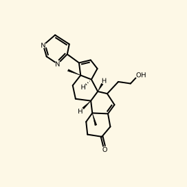 C[C@]12CCC(=O)CC1=CC(CCO)[C@@H]1[C@H]2CC[C@]2(C)C(c3ccncn3)=CC[C@@H]12